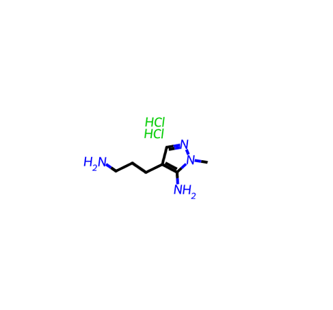 Cl.Cl.Cn1ncc(CCCN)c1N